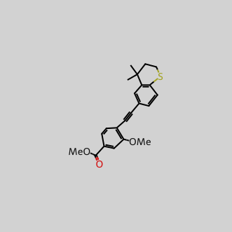 COC(=O)c1ccc(C#Cc2ccc3c(c2)C(C)(C)CCS3)c(OC)c1